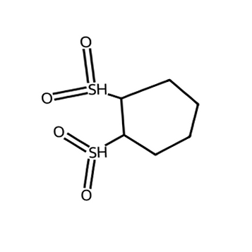 O=[SH](=O)C1CCCCC1[SH](=O)=O